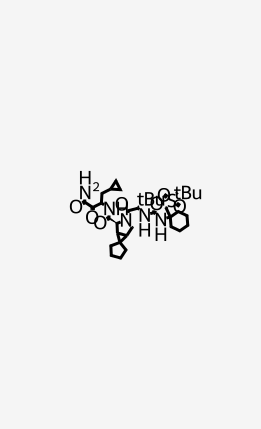 CC(C)(C)[C@H](NC(=O)NC1(CS(=O)(=O)C(C)(C)C)CCCCC1)C(=O)N1CC2C([C@H]1C(=O)NC(CC1CC1)C(=O)C(N)=O)C21CCCC1